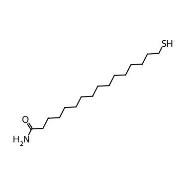 NC(=O)CCCCCCCCCCCCCCCS